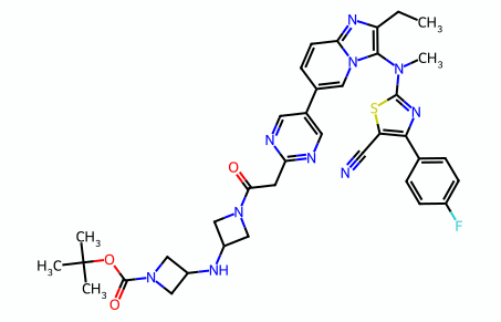 CCc1nc2ccc(-c3cnc(CC(=O)N4CC(NC5CN(C(=O)OC(C)(C)C)C5)C4)nc3)cn2c1N(C)c1nc(-c2ccc(F)cc2)c(C#N)s1